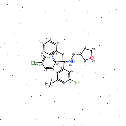 Fc1cc(C(F)(F)F)cc(C(Cc2ccccc2)(NCC2CCOC2)c2ccc(Cl)cn2)c1